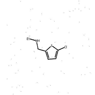 CCNCc1ccc(Cl)s1